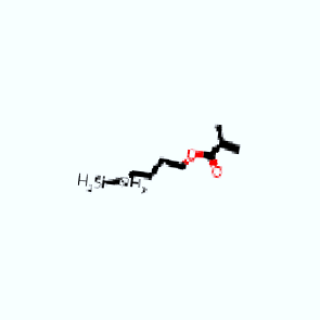 C=C(C)C(=O)OCCCC[SiH2][SiH3]